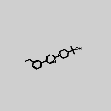 C/C=C(\C=N/C(C)N1CCC(C(C)(C)O)CC1)c1cccc(CC)c1